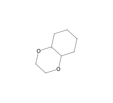 C1CCC2OCCO[C]2C1